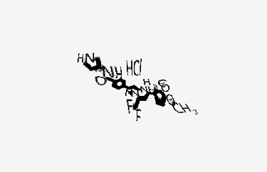 COc1ccc(C2CC(C(F)F)n3nc(-c4ccc(C(=O)N[C@H]5CCNC5)cc4)cc3N2)cc1OC.Cl